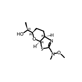 CON(C)C1=N[C@@H]2CC[C@H]([C@H](C)O)O[C@@H]2S1